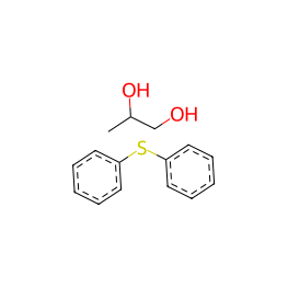 CC(O)CO.c1ccc(Sc2ccccc2)cc1